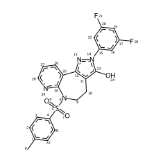 Cc1ccc(S(=O)(=O)N2CCc3c(nn(-c4cc(F)cc(F)c4)c3O)-c3cccnc32)cc1